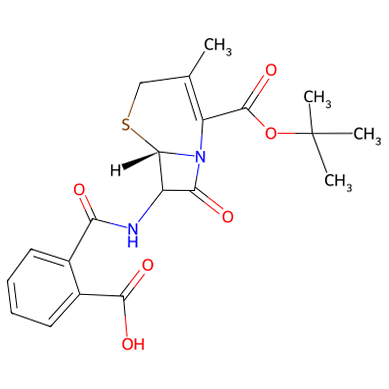 CC1=C(C(=O)OC(C)(C)C)N2C(=O)C(NC(=O)c3ccccc3C(=O)O)[C@@H]2SC1